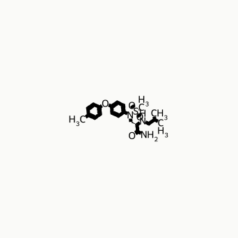 Cc1ccc(Oc2ccc(N(C[C@H](NCC(C)C)C(N)=O)S(C)(=O)=O)cc2)cc1